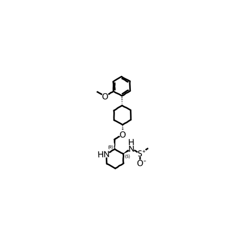 COc1ccccc1[C@H]1CC[C@@H](OC[C@@H]2NCCC[C@@H]2N[S+](C)[O-])CC1